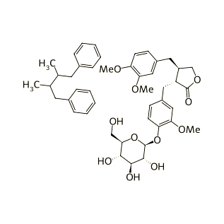 CC(Cc1ccccc1)C(C)Cc1ccccc1.COc1ccc(C[C@H]2COC(=O)[C@@H]2Cc2ccc(O[C@@H]3O[C@H](CO)[C@@H](O)[C@H](O)[C@H]3O)c(OC)c2)cc1OC